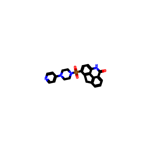 O=c1[nH]c2ccc(S(=O)(=O)N3CCN(c4ccncc4)CC3)c3c2c2c(cccc12)C3